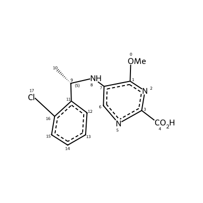 COc1nc(C(=O)O)ncc1N[C@@H](C)c1ccccc1Cl